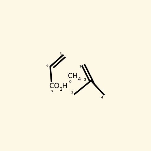 C.C=C(C)C.C=CC(=O)O